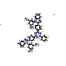 CC(C)C1=CC(n2c(-c3ccc(-c4nc(-c5ccccc5)nc(-c5ccc(-c6nc7ccccc7n6-c6cc(C(C)C)cc(C(C)C)c6)cc5)n4)cc3)nc3ccccc32)=CC(C(C)C)C1